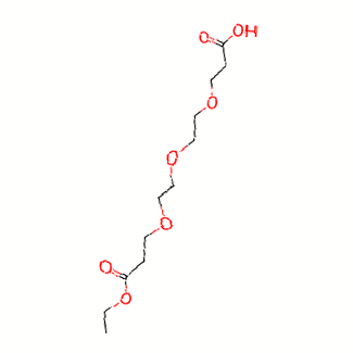 CCOC(=O)CCOCCOCCOCCC(=O)O